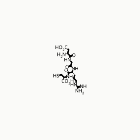 N=C(N)NCCC[C@@H](NC(=O)CNC(=O)[C@H](N)CC(=O)O)C(=O)N[C@H](CS)C(=O)O